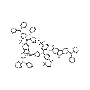 CC(C)(C)c1ccc(N2c3cc4c(cc3B3c5cc6oc7cc(N(c8ccccc8)c8ccccc8)ccc7c6cc5C(C)(C)c5cc(C(C)(C)Cc6ccc7c(c6)N(c6ccccc6)c6cc(N(c8ccccc8)c8ccccc8)cc8c6B7c6cc7oc9cc(N(c%10ccccc%10)c%10ccccc%10)ccc9c7cc6C8(C)C)cc2c53)C(C)(C)CCC4(C)C)cc1